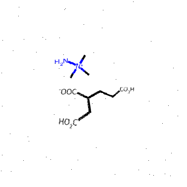 C[N+](C)(C)N.O=C(O)CCC(CC(=O)O)C(=O)[O-]